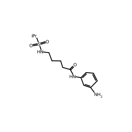 CC(C)S(=O)(=O)NCCCCC(=O)Nc1cccc(N)c1